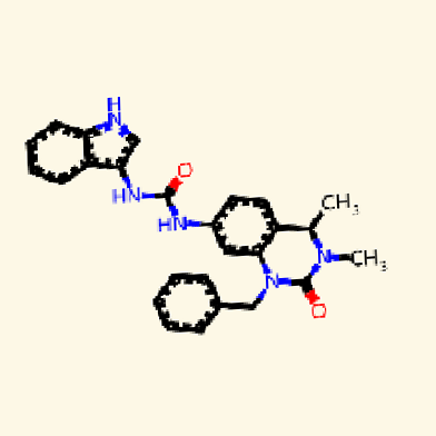 CC1c2ccc(NC(=O)Nc3c[nH]c4ccccc34)cc2N(Cc2ccccc2)C(=O)N1C